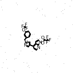 O=C(On1ccc2c(-c3cnn(Cc4cccc(OC(F)(F)F)c4)c3)ccnc21)C(F)(F)F